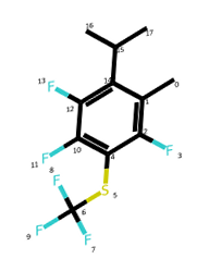 Cc1c(F)c(SC(F)(F)F)c(F)c(F)c1C(C)C